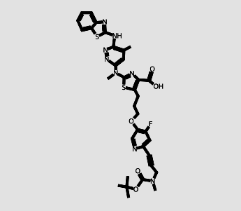 Cc1cc(N(C)c2nc(C(=O)O)c(CCCOc3cnc(C#CCN(C)C(=O)OC(C)(C)C)cc3F)s2)nnc1Nc1nc2ccccc2s1